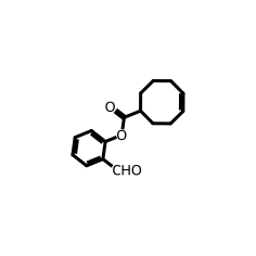 O=Cc1ccccc1OC(=O)C1CCC=CCCC1